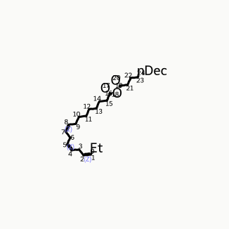 CC/C=C\C/C=C\C/C=C\CCCCCCCC(=O)OC(=O)CCCCCCCCCCCCC